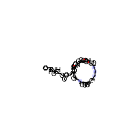 CO[C@H]1C[C@@H]2CC[C@@H](C)[C@@](O)(O2)C(=O)C(=O)N2CCCC[C@H]2C(=O)O[C@H]([C@H](C)C[C@@H]2CCC(OCCOC(=O)NB(F)Cc3ccccc3)[C@H](OC)C2)CC(=O)[C@H](C)/C=C(\C)[C@@H](O)[C@@H](OC)C(=O)[C@H](C)C[C@H](C)/C=C/C=C/C=C/1C